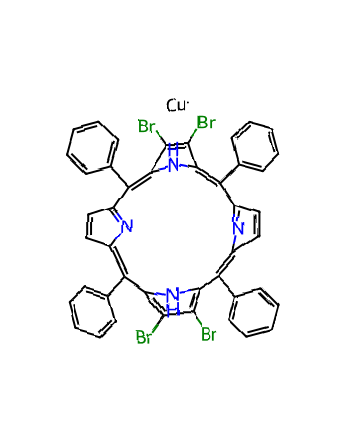 Brc1c(Br)c2[nH]c1c(-c1ccccc1)c1nc(c(-c3ccccc3)c3[nH]c(c(Br)c3Br)c(-c3ccccc3)c3nc(c2-c2ccccc2)C=C3)C=C1.[Cu]